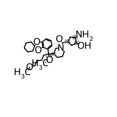 COCCCC[C@@](OC)(c1cccc2c1OC1(CCCCC1)O2)[C@@H]1CCCN(C(=O)[C@H]2C[C@@H](N)[C@@H](O)C2)C1